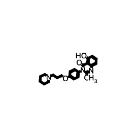 Cc1nc2cccc(O)c2c(=O)n1-c1ccc(OCCCN2CCCCC2)cc1